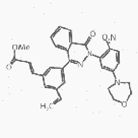 C=Cc1cc(C=CC(=O)OC)cc(-c2nn(-c3cc(N4CCOCC4)ccc3[N+](=O)[O-])c(=O)c3ccccc23)c1